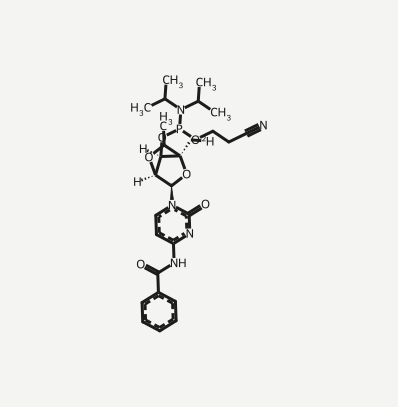 [2H]C[C@@]12O[C@@H](n3ccc(NC(=O)c4ccccc4)nc3=O)[C@@H](OC1C)[C@H]2OP(OCCC#N)N(C(C)C)C(C)C